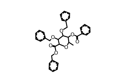 CC1OC(C(=O)OCc2ccccc2)C(OCc2ccccc2)C(OCc2ccccc2)C1OC(=O)c1ccccc1